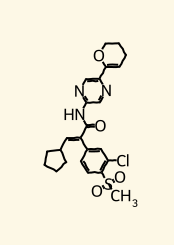 CS(=O)(=O)c1ccc(/C(=C\C2CCCC2)C(=O)Nc2cnc(C3=CCCCO3)cn2)cc1Cl